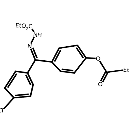 CCOC(=O)NN=C(c1ccc(Cl)cc1)c1ccc(OC(=O)CC)cc1